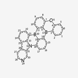 c1ccc2c(c1)Oc1cccc3c1B2c1cccc2c1B3c1cccc3c4ccncc4n-2c13